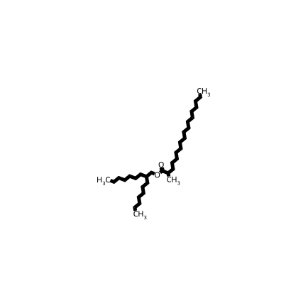 CCCCCCCCCCCCCCCCC(C)C(=O)OCC(CCCCCCC)CCCCCCC